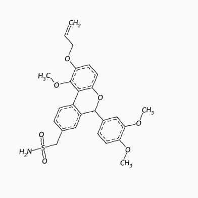 C=CCOc1ccc2c(c1OC)-c1ccc(CS(N)(=O)=O)cc1C(c1ccc(OC)c(OC)c1)O2